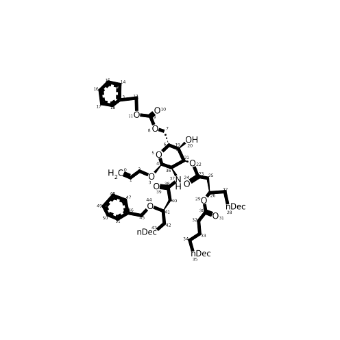 C=CCO[C@H]1O[C@H](COC(=O)OCc2ccccc2)[C@@H](O)[C@H](OC(=O)C[C@@H](CCCCCCCCCCC)OC(=O)CCCCCCCCCCCCC)[C@H]1NC(=O)C[C@@H](CCCCCCCCCCC)OCc1ccccc1